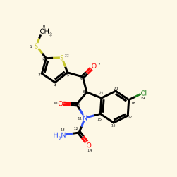 CSc1ccc(C(=O)C2C(=O)N(C(N)=O)c3ccc(Cl)cc32)s1